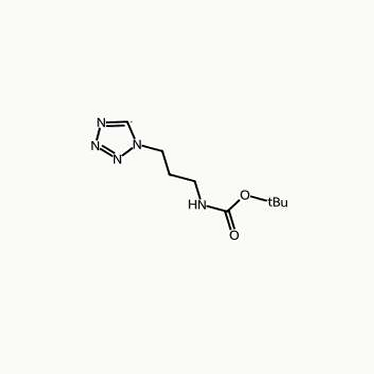 CC(C)(C)OC(=O)NCCCn1[c]nnn1